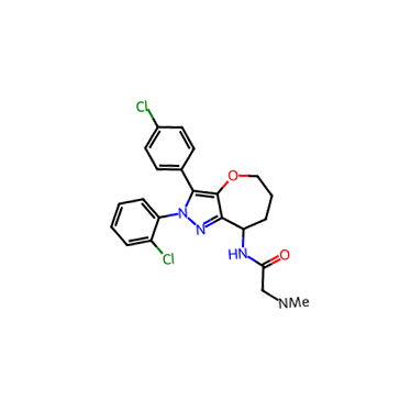 CNCC(=O)NC1CCCOc2c1nn(-c1ccccc1Cl)c2-c1ccc(Cl)cc1